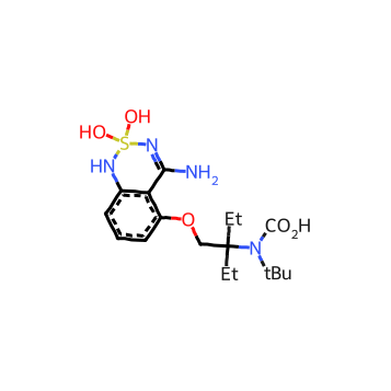 CCC(CC)(COc1cccc2c1C(N)=NS(O)(O)N2)N(C(=O)O)C(C)(C)C